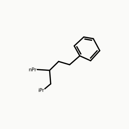 C[CH]CC(CCc1ccccc1)CC(C)C